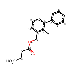 Cc1c(COC(=O)CCC(=O)O)cccc1-c1ccccc1